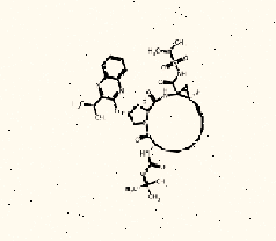 CC(C)c1nc2ccccc2nc1O[C@@H]1C[C@H]2C(=O)N[C@]3(C(=O)NS(=O)(=O)N(C)C)C[C@H]3/C=C\CCCCC[C@H](NC(=O)OC(C)(C)C)C(=O)N2C1